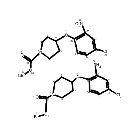 CC(C)(C)OC(=O)N1CCC(Oc2ccc(Cl)cc2N)CC1.CC(C)(C)OC(=O)N1CCC(Oc2ccc(Cl)cc2[N+](=O)[O-])CC1